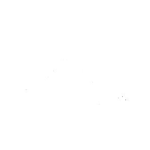 CC(C)(CO[Si](c1ccccc1)(c1ccccc1)C(C)(C)C)C1CNCS1